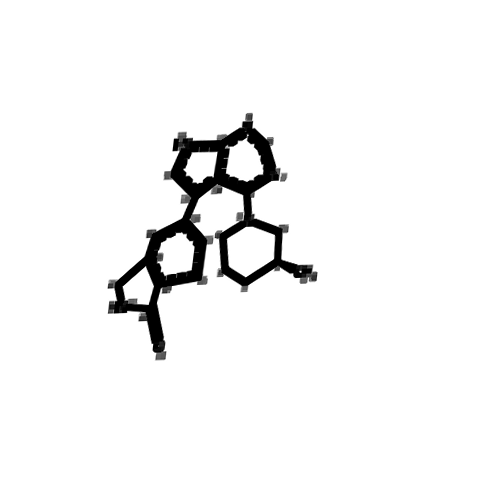 C[C@H]1CCCN(c2ncnc3[nH]cc(-c4ccc5c(c4)CNC5=O)c23)C1